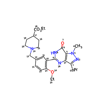 CCCc1nn(C)c2c(=O)[nH]c(-c3cc(CN4CCC(C(=O)OCC)CC4)ccc3OCC)nc12